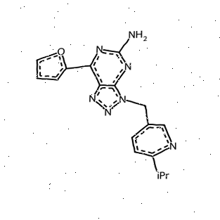 CC(C)c1ccc(Cn2nnc3c(-c4ccco4)nc(N)nc32)cn1